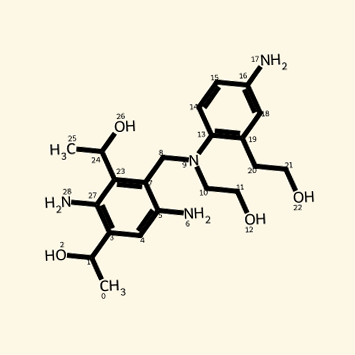 CC(O)c1cc(N)c(CN(CCO)c2ccc(N)cc2CCO)c(C(C)O)c1N